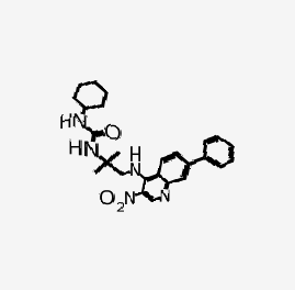 CC(C)(CNc1c([N+](=O)[O-])cnc2cc(-c3ccccc3)ccc12)NC(=O)NC1CCCCC1